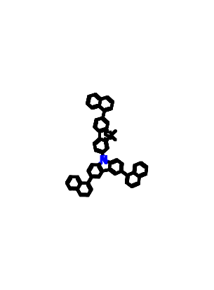 C[Si]1(C)c2cc(-c3cccc4ccccc34)ccc2-c2ccc(-n3c4ccc(-c5cccc6ccccc56)cc4c4cc(-c5cccc6ccccc56)ccc43)cc21